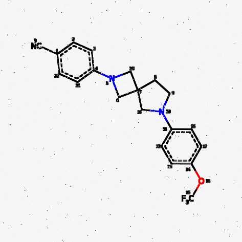 N#Cc1ccc(N2CC3(CCN(c4ccc(OC(F)(F)F)cc4)C3)C2)cc1